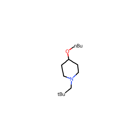 CCCCOC1CCN(CC(C)(C)C)CC1